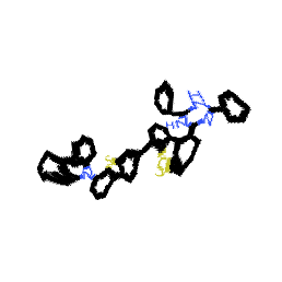 C1=c2sc3c(-c4ccc5c(c4)sc4c(-n6c7ccccc7c7ccccc76)cccc45)cccc3c2=C(C2N=C(c3ccccc3)NC(c3ccccc3)N2)CC1